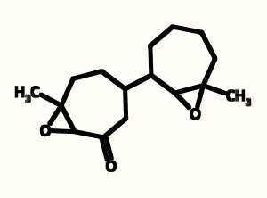 CC12CCC(C3CCCCC4(C)OC34)CC(=O)C1O2